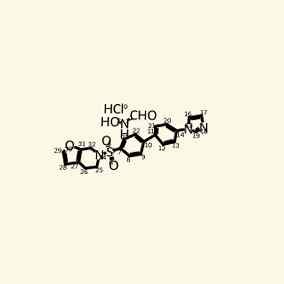 Cl.O=CNO.O=S(=O)(c1ccc(-c2ccc(-n3ccnc3)cc2)cc1)N1CCc2ccoc2C1